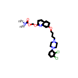 CCCN(CCC)C(=O)OCOc1ccc2ccc(OCCCCN3CCN(c4cccc(Cl)c4Cl)CC3)cc2n1